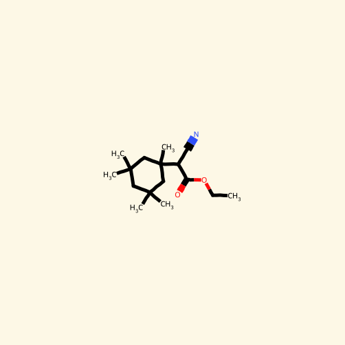 CCOC(=O)C(C#N)C1(C)CC(C)(C)CC(C)(C)C1